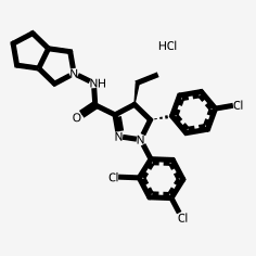 CC[C@@H]1C(C(=O)NN2CC3CCCC3C2)=NN(c2ccc(Cl)cc2Cl)[C@H]1c1ccc(Cl)cc1.Cl